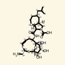 CC(C)C[C@@H]1CCO[C@H]2C(C(=O)N[C@@H]3CC=CC[C@@H](CN)S[C@H]4O[C@H]3[C@H](O)[C@H](O)[C@H]4O)N(C(=O)O)C[C@@H]2C1